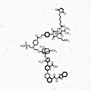 Cc1c(-c2ccc(N3CCc4cccc(C(=O)Nc5nc6ccccc6s5)c4C3)nc2C(=O)O)cnn1CC12CC3(C)CC(C)(C1)CC(OCCN(CCS(=O)(=O)O)C1CCN(C(=O)OCc4ccc(N(C(N)=O)C(=O)[C@H](CCCN)NC(=O)[C@@H](NC(=O)CCCCCN5C(=O)C=CC5=O)C(C)C)cc4)CC1)(C3)C2